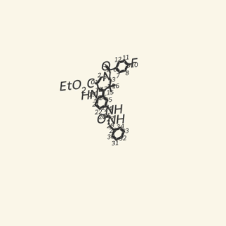 CCOC(=O)C1=CN(C(=O)c2ccc(F)cc2)CC(C)(C)c2c1[nH]c1ccc(NC(=O)NCc3ccccc3)cc21